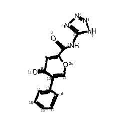 O=C(Nc1nnn[nH]1)c1cc(=O)c(-c2ccccc2)co1